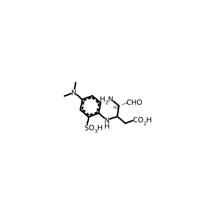 CN(C)c1ccc(NC(CC(=O)O)[C@H](N)C=O)c(S(=O)(=O)O)c1